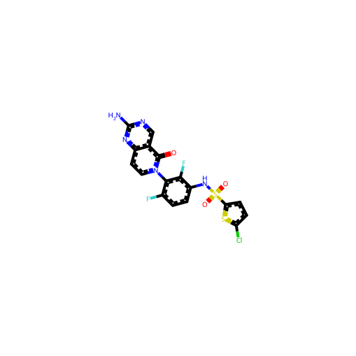 Nc1ncc2c(=O)n(-c3c(F)ccc(NS(=O)(=O)c4ccc(Cl)s4)c3F)ccc2n1